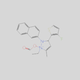 CC[N+]1(OC=O)C(C)=CC(c2sccc2F)N1c1ccc2ccccc2c1